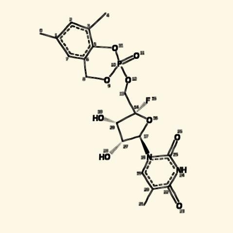 Cc1cc(C)c2c(c1)COP(=O)(OC[C@@]1(F)O[C@@H](n3cc(C)c(=O)[nH]c3=O)[C@H](O)[C@@H]1O)O2